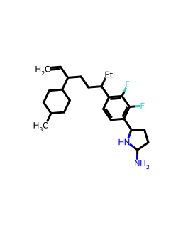 C=CC(CCC(CC)c1ccc(C2CCC(N)N2)c(F)c1F)C1CCC(C)CC1